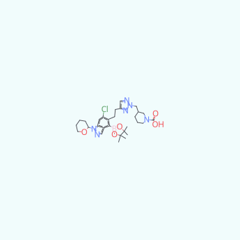 CC1(C)OB(c2c(CCc3cnn(CC4CCCN(C(=O)O)C4)n3)c(Cl)cc3c2cnn3C2CCCCO2)OC1(C)C